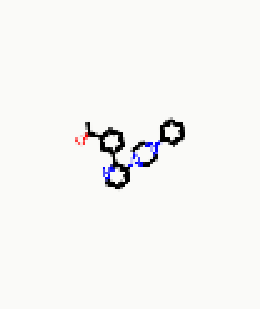 CC(=O)c1cccc(-c2ncccc2N2CCN(c3ccccc3)CC2)c1